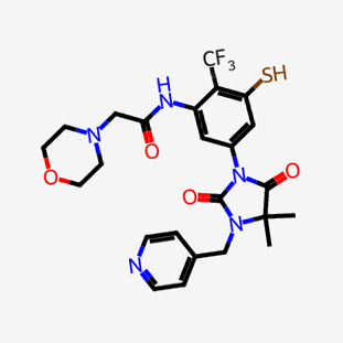 CC1(C)C(=O)N(c2cc(S)c(C(F)(F)F)c(NC(=O)CN3CCOCC3)c2)C(=O)N1Cc1ccncc1